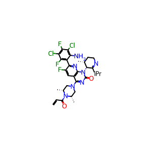 C=CC(=O)N1[C@H](C)CN(c2nc(=O)n([C@H]3C(C(C)C)=NCC[C@H]3C)c3nc(-c4c(N)c(Cl)c(F)c(Cl)c4F)c(F)cc23)C[C@@H]1C